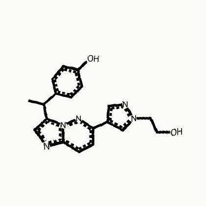 CC(c1ccc(O)cc1)c1cnc2ccc(-c3cnn(CCO)c3)nn12